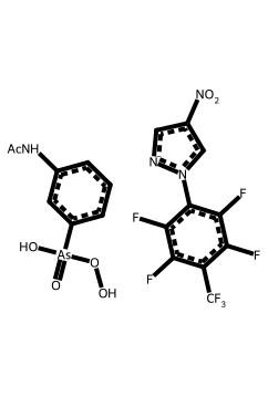 CC(=O)Nc1cccc([As](=O)(O)OO)c1.O=[N+]([O-])c1cnn(-c2c(F)c(F)c(C(F)(F)F)c(F)c2F)c1